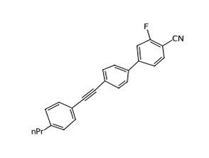 CCCc1ccc(C#Cc2ccc(-c3ccc(C#N)c(F)c3)cc2)cc1